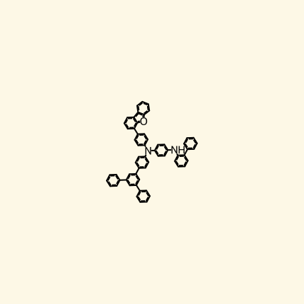 c1ccc(-c2cc(-c3ccccc3)cc(-c3ccc(N(c4ccc(Nc5ccccc5-c5ccccc5)cc4)c4ccc(-c5cccc6c5oc5ccccc56)cc4)cc3)c2)cc1